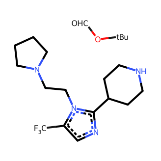 CC(C)(C)OC=O.FC(F)(F)c1cnc(C2CCNCC2)n1CCN1CCCC1